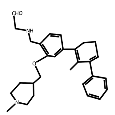 CC1=C(c2ccc(CNCC=O)c(OCC3CCN(C)CC3)c2)CCC=C1c1ccccc1